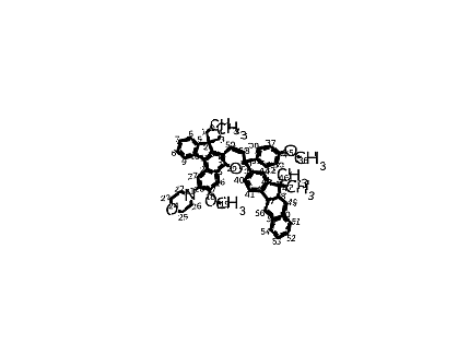 CCC1(CC)c2ccccc2-c2c1c1c(c3cc(OC)c(N4CCOCC4)cc23)OC(c2ccc(OC)cc2)(c2ccc3c(c2)C(C)(C)C2C=c4ccccc4=CC32)C=C1